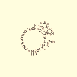 CC(C)(C)OC(=O)C1CCC(C(=O)O)C(C2c3ccccc3-c3ccccc32)OC(=O)NCCCOCCOCCOCCCNC(=O)CCC(=O)N1